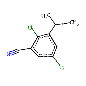 CC(C)c1cc(Cl)cc(C#N)c1Cl